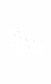 CN(CC(C1CC1)N1CC(O)C1)C(=O)c1ccc(F)c(C(F)(F)F)c1